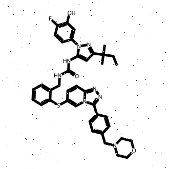 CCC(C)(C)c1cc(NC(=O)NCc2ccccc2Sc2ccc3nnc(-c4ccc(CN5CCOCC5)cc4)n3c2)n(-c2ccc(F)c(O)c2)n1